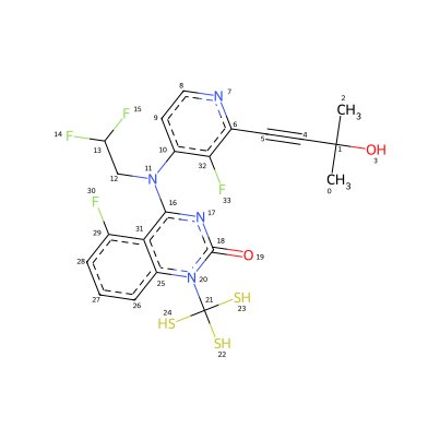 CC(C)(O)C#Cc1nccc(N(CC(F)F)c2nc(=O)n(C(S)(S)S)c3cccc(F)c23)c1F